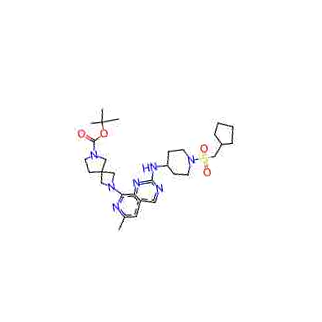 Cc1cc2cnc(NC3CCN(S(=O)(=O)CC4CCCC4)CC3)nc2c(N2CC3(CCN(C(=O)OC(C)(C)C)C3)C2)n1